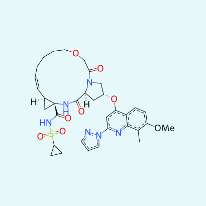 COc1ccc2c(O[C@@H]3C[C@H]4C(=O)N[C@]5(C(=O)NS(=O)(=O)C6CC6)C[C@H]5/C=C\CCCCOCC(=O)N4C3)cc(-n3cccn3)nc2c1C